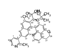 Cc1cc2cc(-c3cncnc3C)ccc2c(-c2ccc3c4c(ccnc24)CCO3)c1[C@H](OC(C)(C)C)C(=O)O